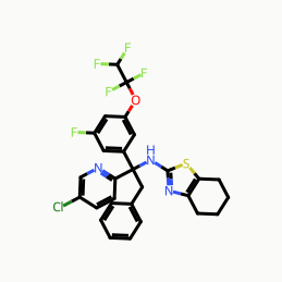 Fc1cc(OC(F)(F)C(F)F)cc(C(Cc2ccccc2)(Nc2nc3c(s2)CCCC3)c2ccc(Cl)cn2)c1